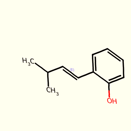 CC(C)/C=C/c1ccccc1O